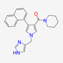 O=C(c1cn(Cc2c[nH]cn2)cc1-c1cccc2ccccc12)N1CCCCC1